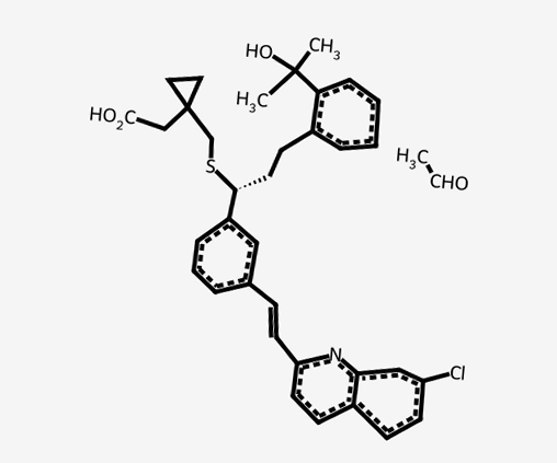 CC(C)(O)c1ccccc1CC[C@@H](SCC1(CC(=O)O)CC1)c1cccc(C=Cc2ccc3ccc(Cl)cc3n2)c1.CC=O